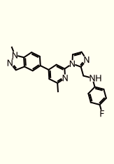 Cc1cc(-c2ccc3c(cnn3C)c2)cc(-n2ccnc2CNc2ccc(F)cc2)n1